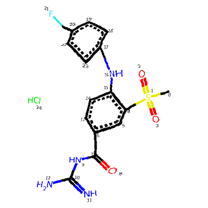 CS(=O)(=O)c1cc(C(=O)NC(=N)N)ccc1Nc1ccc(F)cc1.Cl